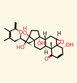 C=C1O[C@@H]([C@](C)(O)[C@]2(O)CC[C@@]3(O)[C@@H]4C[C@H]5O[C@]56[C@H](O)C=CC(=O)[C@]6(C)[C@H]4CC[C@]23CC)CC(C)=C1C